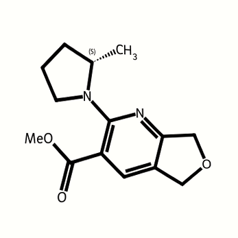 COC(=O)c1cc2c(nc1N1CCC[C@@H]1C)COC2